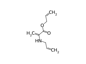 C=CCNC(=C)C(=O)OCC=C